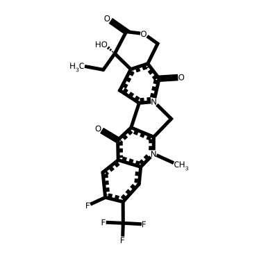 CC[C@@]1(O)C(=O)OCc2c1cc1n(c2=O)Cc2c-1c(=O)c1cc(F)c(C(F)(F)F)cc1n2C